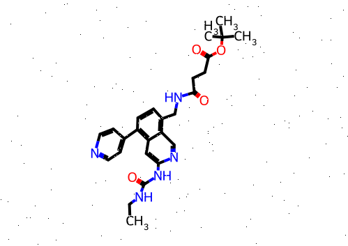 CCNC(=O)Nc1cc2c(-c3ccncc3)ccc(CNC(=O)CCC(=O)OC(C)(C)C)c2cn1